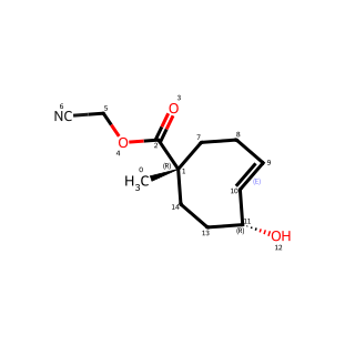 C[C@@]1(C(=O)OCC#N)CC/C=C/[C@H](O)CC1